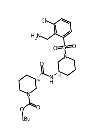 CC(C)(C)OC(=O)N1CCC[C@H](C(=O)N[C@H]2CCCN(S(=O)(=O)c3cccc(Cl)c3CN)C2)C1